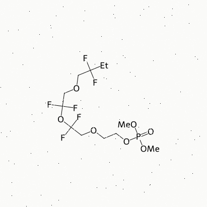 CCC(F)(F)COCC(F)(F)OC(F)(F)COCCOP(=O)(OC)OC